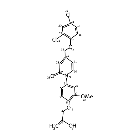 C=C(O)COc1ccc(-n2ccc(COc3ccc(Cl)cc3Cl)cc2=O)cc1OC